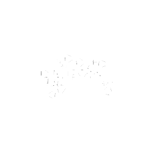 O=C1N(CCS(=O)(=O)c2ccccc2)Cc2ccccc2[C@@H]2OC(c3ccc(-c4cccc(S(=O)(=O)CCN5Cc6ccccc6[C@@H]6OC(c7ccccc7)=N[C@]6(Cc6ccc(F)cc6)C5=O)c4)cc3)=N[C@]12Cc1ccc(C(F)(F)F)cc1